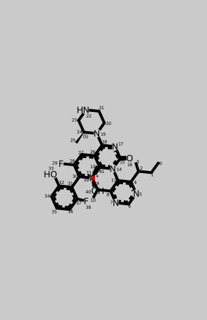 CCC(C)c1ncnc(C(C)CC)c1-n1c(=O)nc(N2CCNC[C@@H]2C)c2cc(F)c(-c3c(O)cccc3F)[n+](O)c21